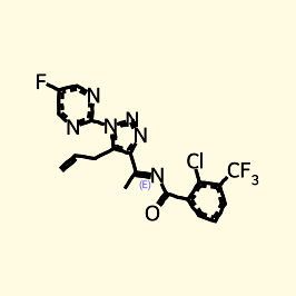 C=CCc1c(/C(C)=N/C(=O)c2cccc(C(F)(F)F)c2Cl)nnn1-c1ncc(F)cn1